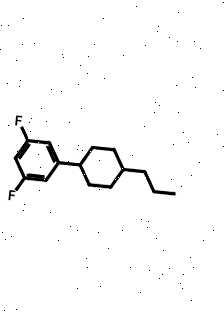 CCCC1CCC(c2cc(F)cc(F)c2)CC1